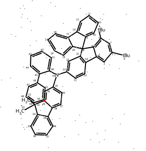 CC(C)(C)c1cc2c(c(C(C)(C)C)c1)C1(c3ccccc3-c3ccccc31)c1cc(N(c3ccc4c(c3)C(C)(C)c3ccccc3-4)c3ccccc3-c3ccccc3)ccc1-2